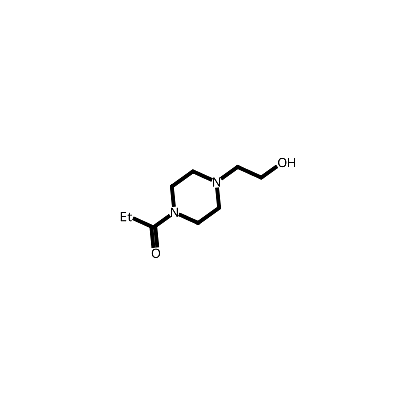 CCC(=O)N1CCN(CCO)CC1